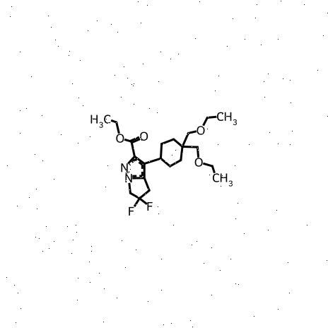 CCOCC1(COCC)CCC(c2c(C(=O)OCC)nn3c2CC(F)(F)C3)CC1